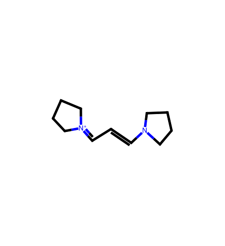 C(=CN1CCCC1)C=[N+]1CCCC1